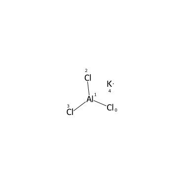 [Cl][Al]([Cl])[Cl].[K]